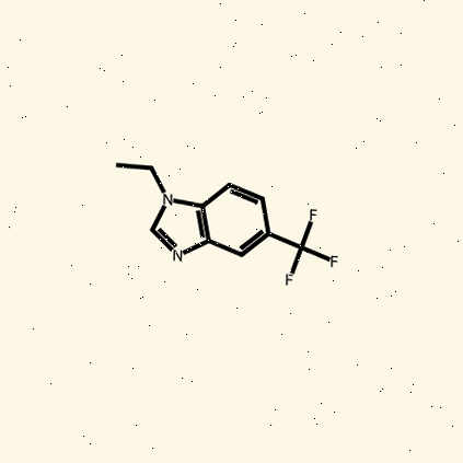 CCn1cnc2cc(C(F)(F)F)ccc21